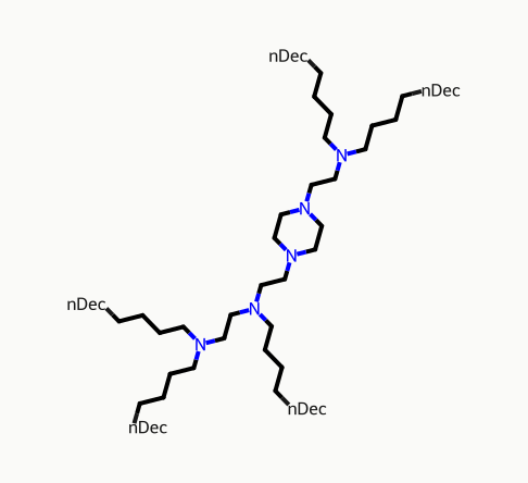 CCCCCCCCCCCCCCN(CCCCCCCCCCCCCC)CCN(CCCCCCCCCCCCCC)CCN1CCN(CCN(CCCCCCCCCCCCCC)CCCCCCCCCCCCCC)CC1